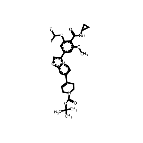 COc1cc(-c2cnc3cc(C4=CCN(C(=O)OC(C)(C)C)CC4)ccn23)cc(OC(F)F)c1C(=O)NC1CC1